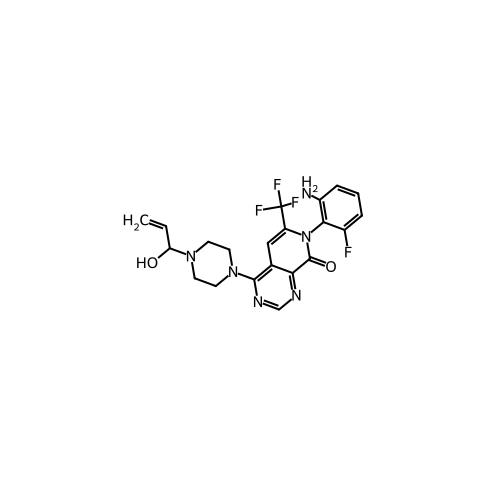 C=CC(O)N1CCN(c2ncnc3c(=O)n(-c4c(N)cccc4F)c(C(F)(F)F)cc23)CC1